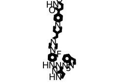 O=C1CCC(c2ccc(N3CCC(CCN4CCN(c5ccc(Nc6nc(N7SN8CCc9cccc7c98)c7cc[nH]c7n6)cc5F)CC4)CC3)cc2)C(=O)N1